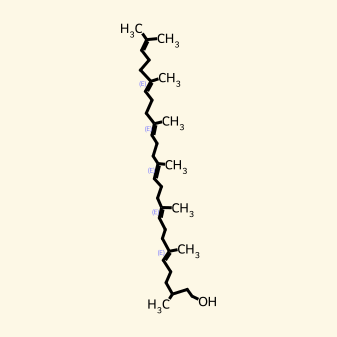 CC(C)=CCC/C(C)=C/CC/C(C)=C/CC/C(C)=C/CC/C(C)=C/CC/C(C)=C/CCC(C)CCO